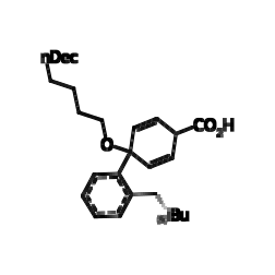 CCCCCCCCCCCCCCOC1(c2ccccc2C[C@@H](C)CC)C=CC(C(=O)O)C=C1